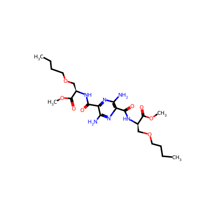 CCCCOC[C@@H](NC(=O)c1nc(N)c(C(=O)N[C@H](COCCCC)C(=O)OC)nc1N)C(=O)OC